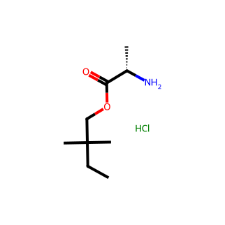 CCC(C)(C)COC(=O)[C@H](C)N.Cl